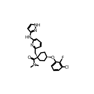 CN(C)C(=O)[C@]1(Cc2cccc(Nc3cc[nH]n3)n2)CC[C@@H](Oc2cccc(Cl)c2F)CC1